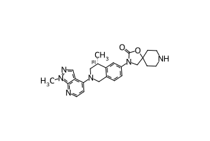 C[C@H]1CN(c2ccnc3c2cnn3C)Cc2ccc(N3CC4(CCNCC4)OC3=O)cc21